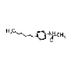 [CH2]CCCCCc1ccc(NC(C)=O)cc1